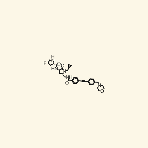 O=C(NC[C@H]1C[C@@H](NC(=O)[C@@H]2C[C@H](F)CN2)C(=O)N1CC1CC1)c1ccc(C#Cc2ccc(CN3CCOCC3)cc2)cc1